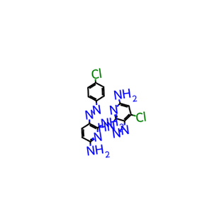 Nc1cc(Cl)c2nn[nH]c2n1.Nc1ccc(N=Nc2ccc(Cl)cc2)c(N)n1